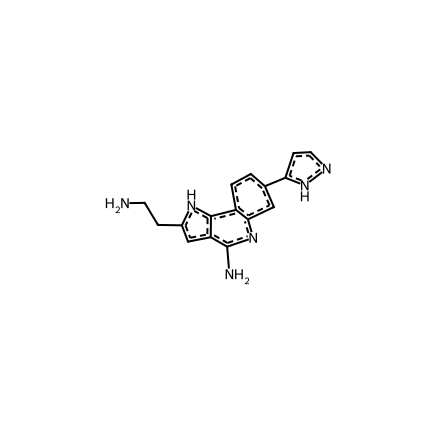 NCCc1cc2c(N)nc3cc(-c4ccn[nH]4)ccc3c2[nH]1